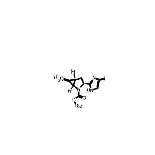 C=C1[C@@H]2[C@H]1C[C@@H](c1nc(I)c[nH]1)N2C(=O)OC(C)(C)C